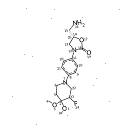 COC1(OC)CCN(c2ccc(N3C[C@H](CN)OC3=O)cc2)CC1F